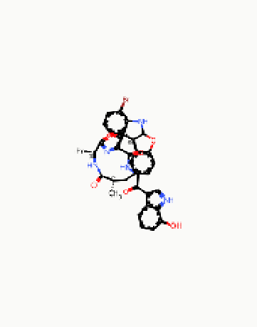 CC(C)[C@@H]1NC(=O)[C@@H](C)Cc2ccc3c(c2)[C@@]2(c4cccc(Br)c4NC2O3)c2oc1nc2C(=O)NCC(=O)c1c[nH]c2c(O)cccc12